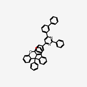 c1ccc(-c2cccc(-c3cc(-c4cccc(-c5ccccc5C5(c6ccccc6)c6ccccc6Oc6ccccc65)c4)nc(-c4ccccc4)n3)c2)cc1